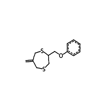 C=C1CSCC(COc2ccccc2)SC1